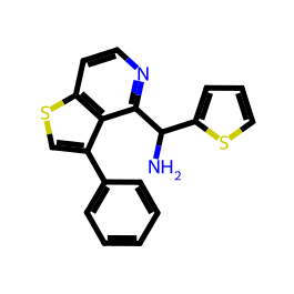 NC(c1cccs1)c1nccc2scc(-c3ccccc3)c12